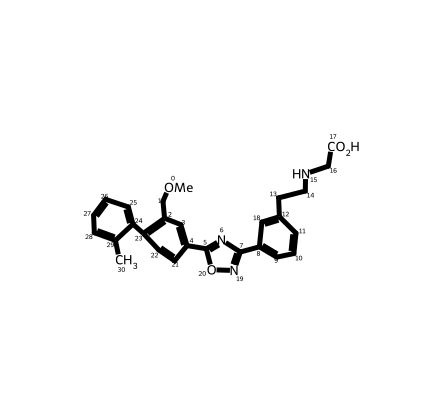 COCc1cc(-c2nc(-c3cccc(CCNCC(=O)O)c3)no2)ccc1-c1ccccc1C